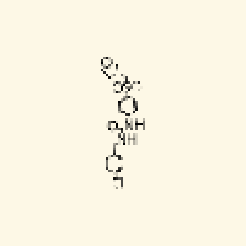 O=C(NCc1ccc(Cl)cc1)Nc1ccc(S(=O)(=O)CC2CCOC2)cc1